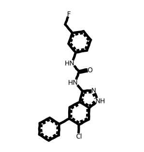 O=C(Nc1cccc(CF)c1)Nc1n[nH]c2cc(Cl)c(-c3ccccc3)cc12